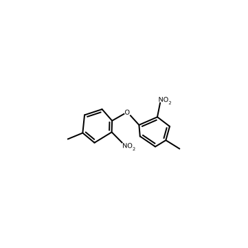 Cc1ccc(Oc2ccc(C)cc2[N+](=O)[O-])c([N+](=O)[O-])c1